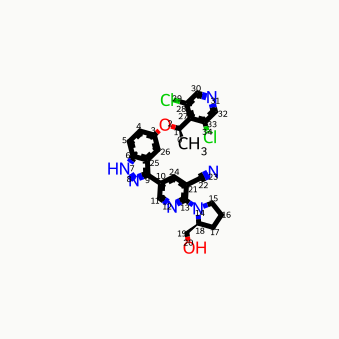 C[C@@H](Oc1ccc2[nH]nc(-c3cnc(N4CCC[C@H]4CO)c(C#N)c3)c2c1)c1c(Cl)cncc1Cl